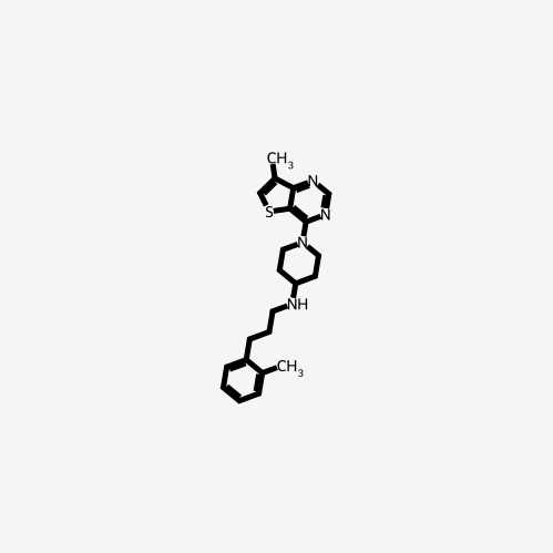 Cc1ccccc1CCCNC1CCN(c2ncnc3c(C)csc23)CC1